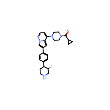 O=C(C1CC1)N1CCN(c2ccnn3cc(-c4ccc(C5CCNCC5F)cc4)cc23)CC1